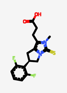 Cn1c(CCC(=O)O)c2n(c1=S)C[C@@H](c1c(F)cccc1F)C2